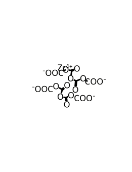 O=C([O-])OC(=O)OC(=O)OC(=O)[O-].O=C([O-])OC(=O)OC(=O)OC(=O)[O-].[Zr+4]